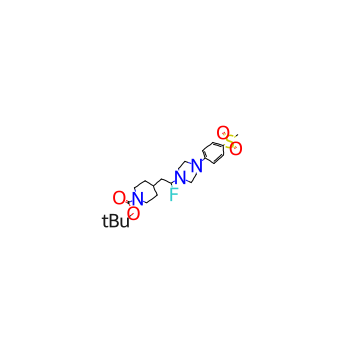 CC(C)(C)OC(=O)N1CCC(CC(F)N2CCN(c3ccc(S(C)(=O)=O)cc3)CC2)CC1